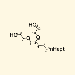 CCCCCCCCCCC(COCCO)OCCO